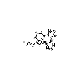 CN1CCC=CC1c1nsnc1-c1nsnc1OCCCC(F)(F)F